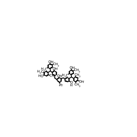 Cc1cc(C(c2cc(C)c(O)cc2C)c2cc(Cc3cc(C(C)C)cc(Cc4ccc(O)c(C(c5cc(C)c(O)cc5C)c5cc(C)c(O)cc5C)c4)c3O)ccc2O)c(C)cc1O